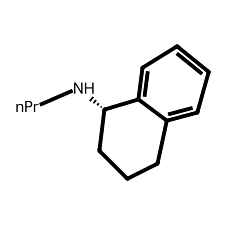 CCCN[C@H]1CCCc2ccccc21